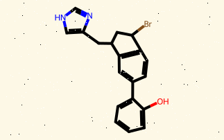 Oc1ccccc1-c1ccc2c(c1)C(Cc1c[nH]cn1)CC2Br